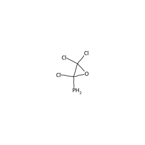 PC1(Cl)OC1(Cl)Cl